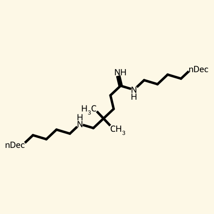 CCCCCCCCCCCCCCNCC(C)(C)CCC(=N)NCCCCCCCCCCCCCC